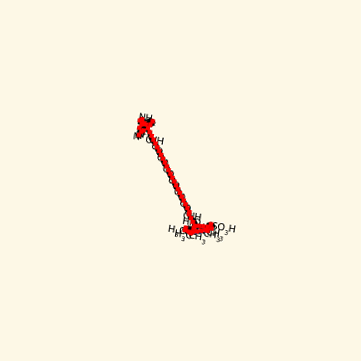 CC[N+]1=C(/C=C/C=C/C=C2\N(CCCCCC(=O)NCCNC(=O)CCOCCOCCOCCOCCOCCOCCOCCOCCOCCOCCOCCOCCNC(=O)CCCCC[n+]3c(-c4ccccc4)c4cc(N)ccc4c4ccc(N=[N+]=[N-])cc43)c3ccc(S(=O)(=O)O)cc3C2(C)C)C(C)(C)c2cc(C)ccc21